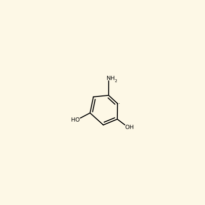 Nc1[c]c(O)cc(O)c1